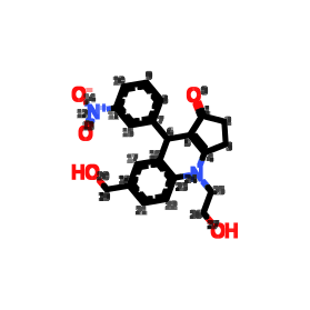 O=C1CCC2=C1C(c1cccc([N+](=O)[O-])c1)c1cc(CO)ccc1N2CCO